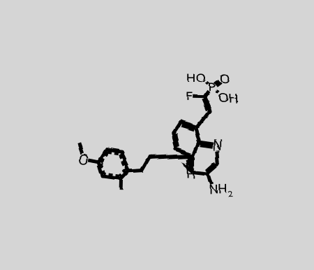 COc1ccc(CCC2=CC=C3C(N)=CN=C4C(/C=C(\F)P(=O)(O)O)=CC=CC34N2)c(C)c1